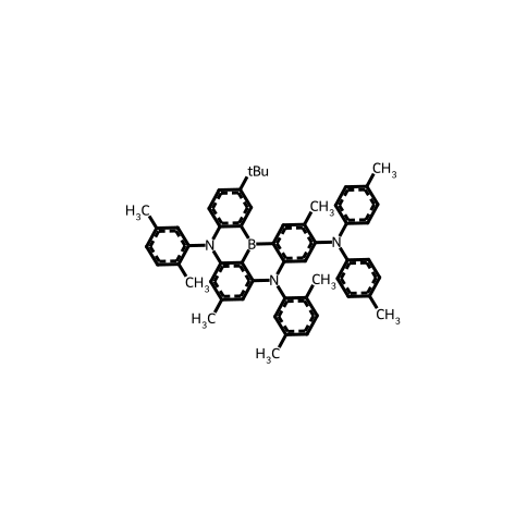 Cc1ccc(N(c2ccc(C)cc2)c2cc3c(cc2C)B2c4cc(C(C)(C)C)ccc4N(c4cc(C)ccc4C)c4cc(C)cc(c42)N3c2cc(C)ccc2C)cc1